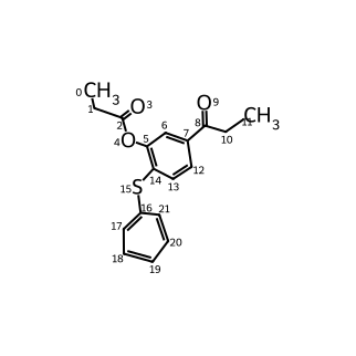 CCC(=O)Oc1cc(C(=O)CC)ccc1Sc1ccccc1